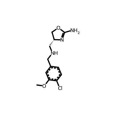 COc1cc(CNC[C@@H]2COC(N)=N2)ccc1Cl